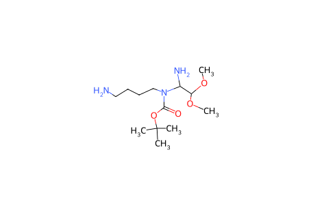 COC(OC)C(N)N(CCCCN)C(=O)OC(C)(C)C